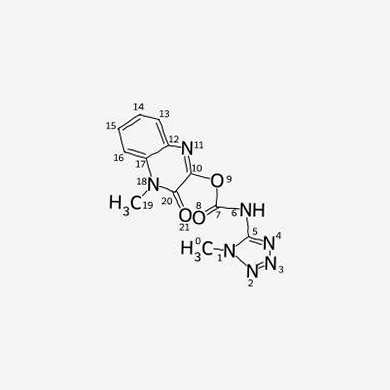 Cn1nnnc1NC(=O)Oc1nc2ccccc2n(C)c1=O